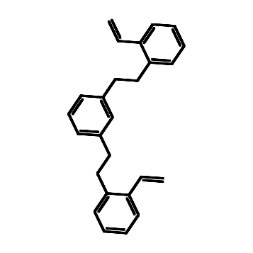 C=Cc1ccccc1CCc1cccc(CCc2ccccc2C=C)c1